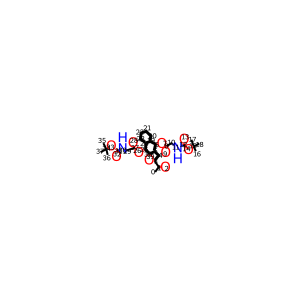 CC(=O)c1cc2c(OC(=O)CNC(=O)OC(C)(C)C)c3ccccc3c(OC(=O)CNC(=O)OC(C)(C)C)c2o1